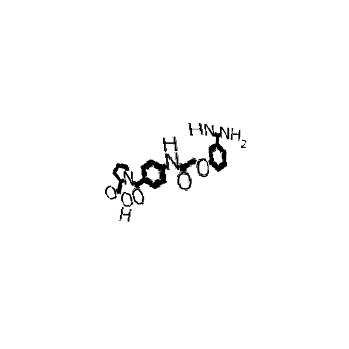 N=C(N)c1cccc(OCC(=O)Nc2ccc(C(=O)N3CCCC3C(=O)O)cc2)c1